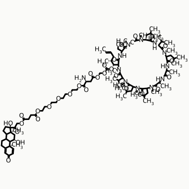 C/C=C/C[C@@H](C)[C@@H](OC(=O)OCOC(=O)C[C@@H](N)C(=O)OCCOCCOCCOCCOC(=O)CCC(=O)OCC(=O)[C@@]1(O)CCC2C3CCC4=CC(=O)C=C[C@]4(C)C3[C@@H](O)C[C@@]21C)C1C(=O)NC(CC)C(=O)N(C)CC(=O)N(C)[C@@H](CC(C)C)C(=O)NC(C(C)C)C(=O)N(C)C(CC(C)C)C(=O)NC(C)C(=O)NC(C)C(=O)N(C)C(CC(C)C)C(=O)N(C)C(CC(C)C)C(=O)N(C)C(C(C)C)C(=O)N1C